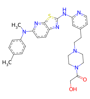 Cc1ccc(N(C)c2ccc3nc(Nc4cc(CCN5CCN(C(=O)CO)CC5)ccn4)sc3n2)cc1